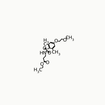 CCOC(=O)CCNS(=O)(=O)c1c(C)cc(OCCOC)cc1C